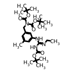 CC/N=C(/NC(=O)OC(C)(C)C)Nc1cc(C)cc(CN(C(=O)OC(C)(C)C)C(=O)OC(C)(C)C)c1